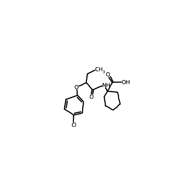 CCC(Oc1ccc(Cl)cc1)C(=O)NC1(C(=O)O)CCCCC1